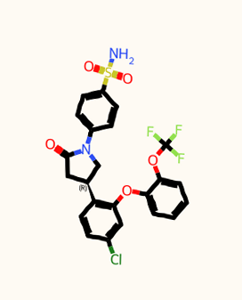 NS(=O)(=O)c1ccc(N2C[C@@H](c3ccc(Cl)cc3Oc3ccccc3OC(F)(F)F)CC2=O)cc1